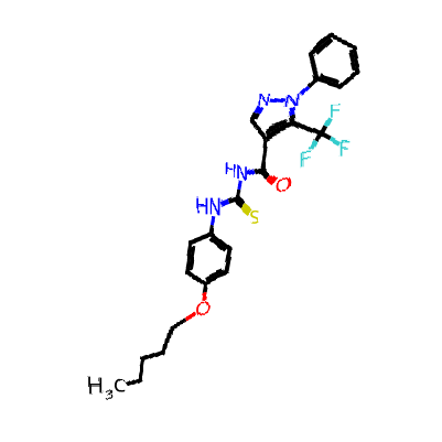 CCCCCOc1ccc(NC(=S)NC(=O)c2cnn(-c3ccccc3)c2C(F)(F)F)cc1